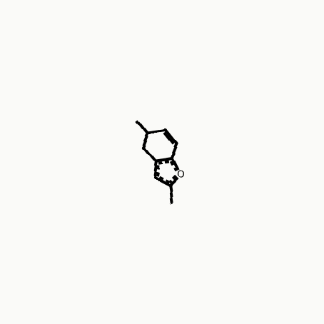 Cc1cc2c(o1)C=CC(C)C2